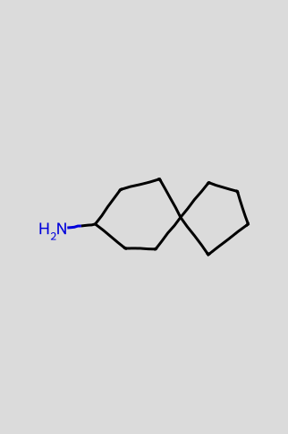 NC1CCC2(CCCC2)CC1